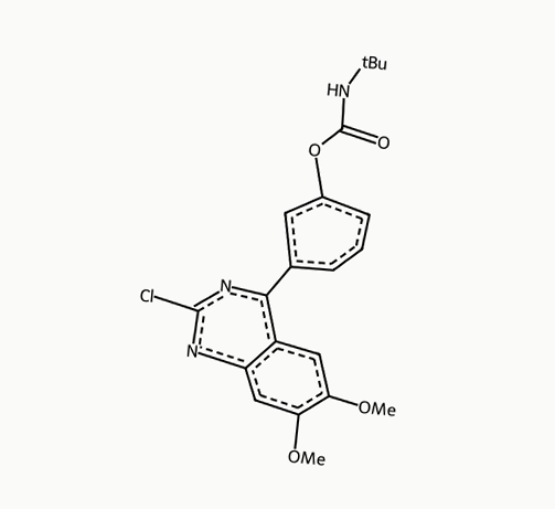 COc1cc2nc(Cl)nc(-c3cccc(OC(=O)NC(C)(C)C)c3)c2cc1OC